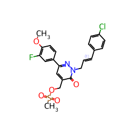 COc1ccc(-c2cc(COS(C)(=O)=O)c(=O)n(C/C=C/c3ccc(Cl)cc3)n2)cc1F